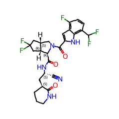 N#C[C@H](C[C@@H]1CCCNC1=O)NC(=O)[C@H]1[C@@H]2CC(F)(F)C[C@@H]2CN1C(=O)c1cc2c(F)ccc(C(F)F)c2[nH]1